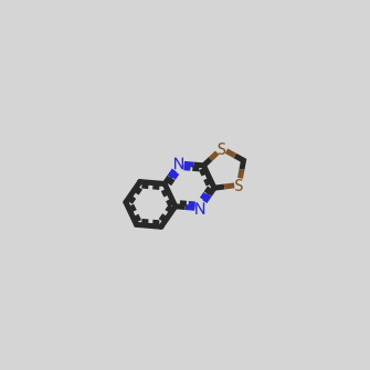 c1ccc2nc3c(nc2c1)SCS3